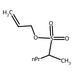 C=CCOS(=O)(=O)C(C)CCC